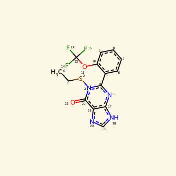 CCSn1c(-c2ccccc2OC(F)(F)F)nc2[nH]cnc2c1=O